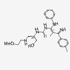 COCCNC[C@H](CO)NC(=O)N/C(Nc1ccccc1)=C(\C)C(=N)c1ccc(C)cc1